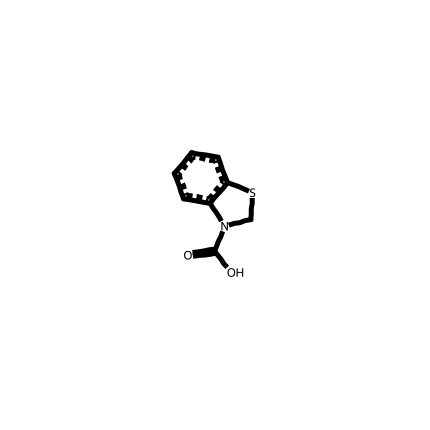 O=C(O)N1CSc2ccccc21